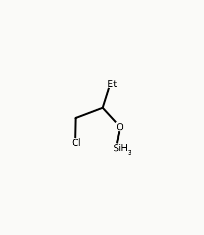 CCC(CCl)O[SiH3]